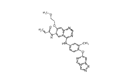 C=CC(=O)Nc1cc2c(Nc3ccc(Oc4cc5nncn5cn4)c(C)c3)ncnc2cc1OCCOC